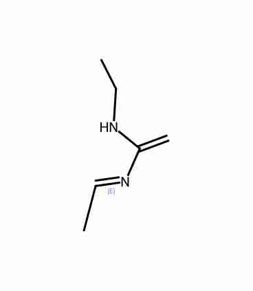 C=C(/N=C/C)NCC